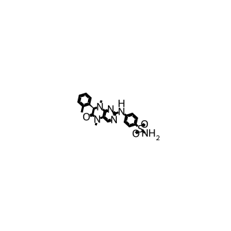 Cc1ccccc1[C@@H]1C(=O)N(C)c2cnc(Nc3ccc(S(N)(=O)=O)cc3)nc2N1C